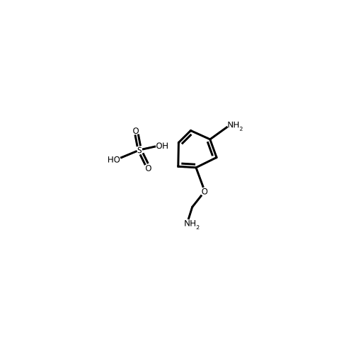 NCOc1cccc(N)c1.O=S(=O)(O)O